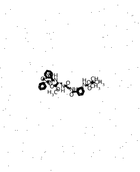 COC(=O)[C@@H](CNC(=O)CNC(=O)c1cccc(NC(=O)OC(C)(C)C)c1)NC(=O)C1C2CCC(CC2)N1S(=O)(=O)c1ccccc1